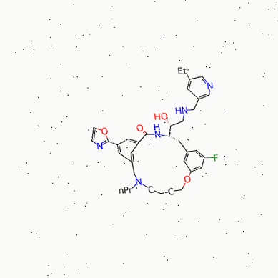 CCCN1CCCCOc2cc(F)cc(c2)C[C@@H]([C@H](O)CNCc2cncc(CC)c2)NC(=O)c2cc(cc(-c3ncco3)c2)C1